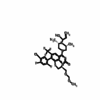 C=CC(O)N1[C@H](C)CN(c2nc(=O)n3c4c(c(-c5cc(Cl)c(F)cc5F)c(C(F)(F)F)cc24)SC[C@@H]3COCOC)C[C@@H]1C